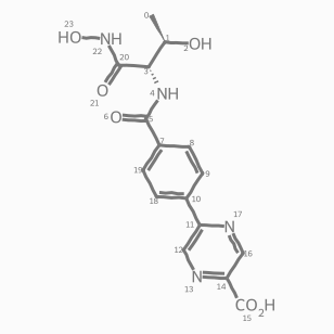 C[C@@H](O)[C@H](NC(=O)c1ccc(-c2cnc(C(=O)O)cn2)cc1)C(=O)NO